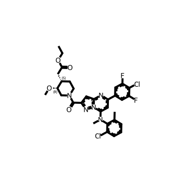 CCOC(=O)C[C@@H]1CCN(C(=O)c2cc3nc(-c4cc(F)c(Cl)c(F)c4)cc(N(C)c4c(C)cccc4Cl)n3n2)C[C@@H]1OC